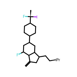 C=C1CC(CCC(C)C)C2CC(C3CCC([C@](C)(F)I)CC3)CC(F)C12